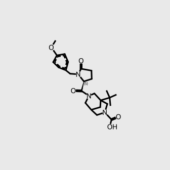 COc1ccc(CN2C(=O)CC[C@H]2C(=O)N2CC3CN(C(=O)O)CC(C(C)(C)C)(C3)C2)cc1